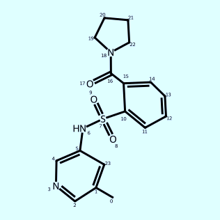 Cc1cncc(NS(=O)(=O)c2ccccc2C(=O)N2CCCC2)c1